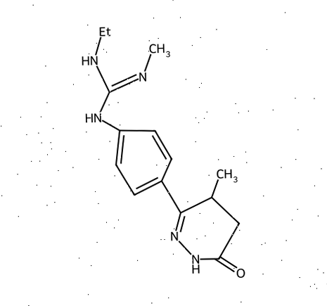 CCNC(=NC)Nc1ccc(C2=NNC(=O)CC2C)cc1